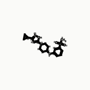 CS(=O)(=O)c1[c]ccc(OC2CCN(c3nc(C4CC4)no3)CC2)c1